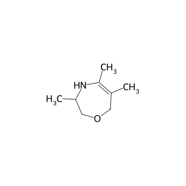 CC1=C(C)NC(C)COC1